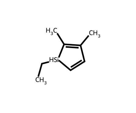 CC[SiH]1C=CC(C)=C1C